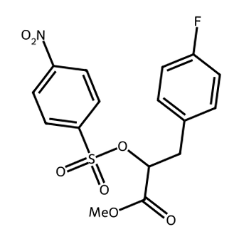 COC(=O)C(Cc1ccc(F)cc1)OS(=O)(=O)c1ccc([N+](=O)[O-])cc1